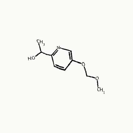 COCOc1ccc(C(C)O)nc1